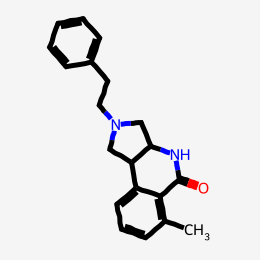 Cc1cccc2c1C(=O)NC1CN(CCc3ccccc3)CC21